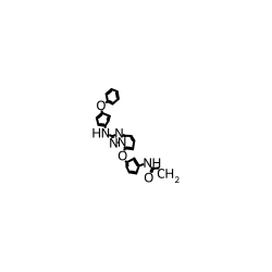 C=CC(=O)Nc1cccc(Oc2cccc3nc(Nc4ccc(Oc5ccccc5)cc4)nn23)c1